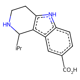 CC(C)C1NCCc2[nH]c3ccc(C(=O)O)cc3c21